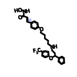 O=C(/C=C/c1ccc(OCCCCCNCCC(Oc2ccc(C(F)(F)F)cc2)c2ccccc2)cc1)NO